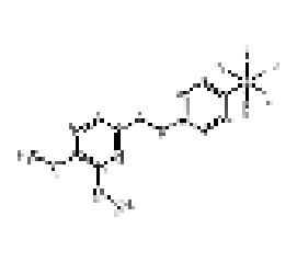 COc1ncc(CSc2ccc(S(F)(F)(F)(F)F)cc2)nc1OC